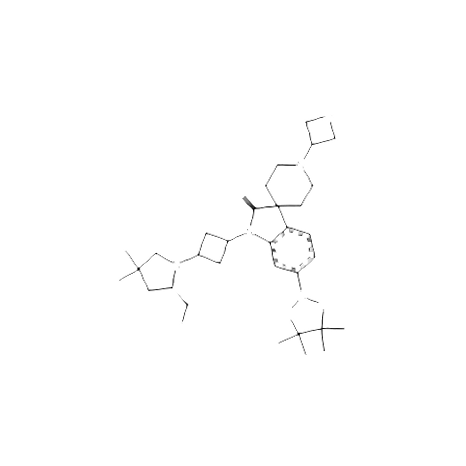 CC1(C)C[C@H](CO)N(C2CC(N3C(=O)C4(CCN(C5COC5)CC4)c4ccc(B5OC(C)(C)C(C)(C)O5)cc43)C2)C1